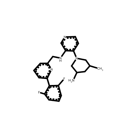 CC1CC(N)CN(c2ccncc2NCc2cccc(-c3c(F)cccc3F)n2)C1